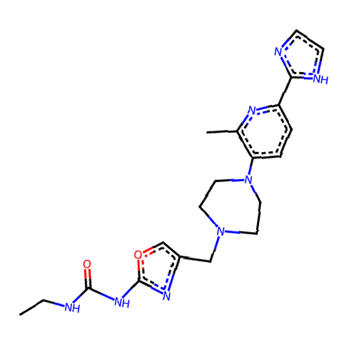 CCNC(=O)Nc1nc(CN2CCN(c3ccc(-c4ncc[nH]4)nc3C)CC2)co1